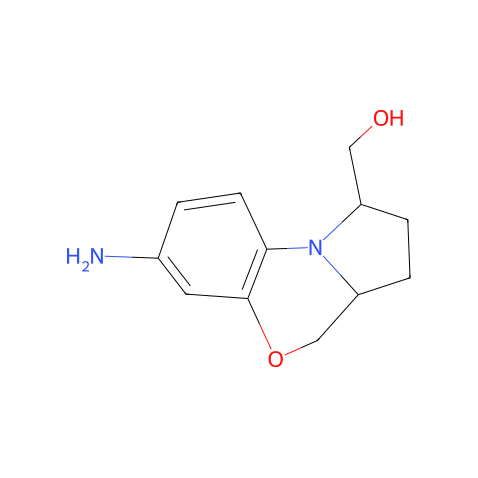 Nc1ccc2c(c1)OCC1CCC(CO)N21